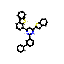 c1ccc(-c2cccc(-c3nc(-c4cc5ccccc5s4)cc(-c4cccc5c4sc4ccccc45)n3)c2)cc1